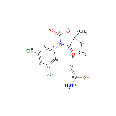 C=CC1(C)OC(=O)N(c2cc(Cl)cc(Cl)c2)C1=O.NC(=S)S